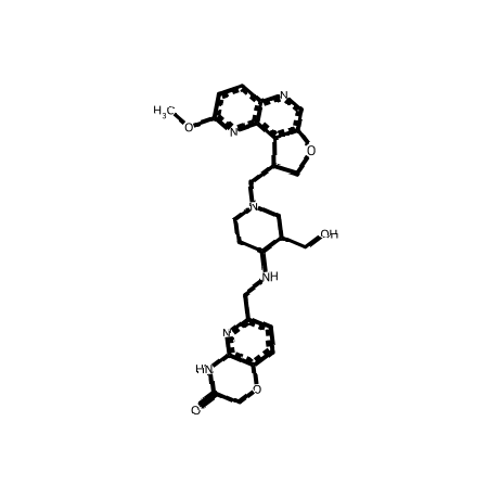 COc1ccc2ncc3c(c2n1)C(CN1CCC(NCc2ccc4c(n2)NC(=O)CO4)C(CO)C1)CO3